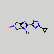 CCn1c(-c2nnn(C3CC3)n2)nc2c1CN(O)C2